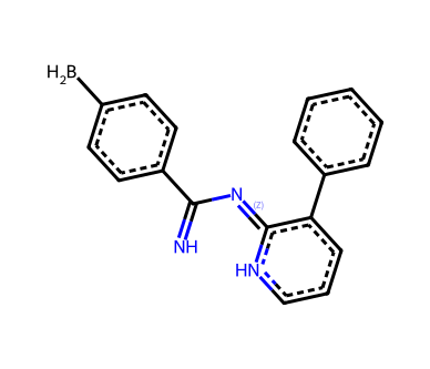 Bc1ccc(C(=N)/N=c2\[nH]cccc2-c2ccccc2)cc1